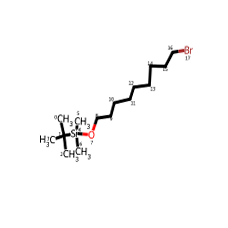 CC(C)(C)[Si](C)(C)OCCCCCCCCCBr